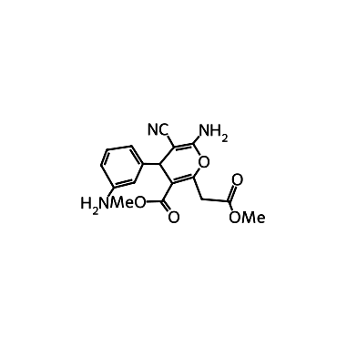 COC(=O)CC1=C(C(=O)OC)C(c2cccc(N)c2)C(C#N)=C(N)O1